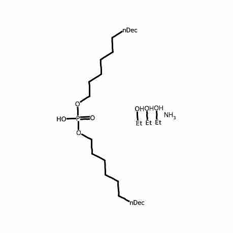 CCCCCCCCCCCCCCCCOP(=O)(O)OCCCCCCCCCCCCCCCC.CCO.CCO.CCO.N